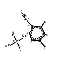 Cc1ccc([N+]#N)c(C)c1.F[B-](F)(F)F